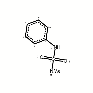 CNS(=O)(=O)Nc1c[c]ccc1